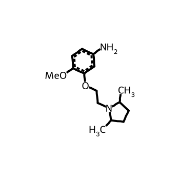 COc1ccc(N)cc1OCCN1C(C)CCC1C